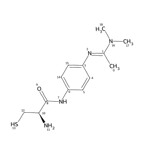 C/C(=N\c1ccc(NC(=O)[C@@H](N)CS)cc1)N(C)C